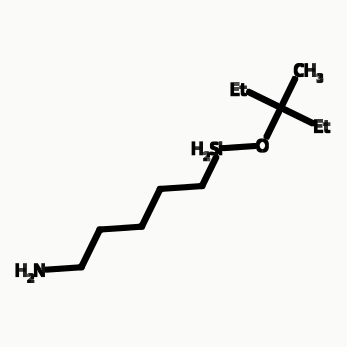 CCC(C)(CC)O[SiH2]CCCCCN